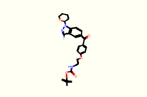 CC(C)(C)OC(=O)NCCOc1ccc(C(=O)c2ccc3c(c2)c(F)nn3C2CCCCO2)cc1